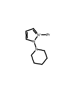 CC(C)[n+]1cccn1N1CCCCC1